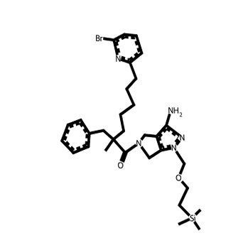 CC(CCCCCc1cccc(Br)n1)(Cc1ccccc1)C(=O)N1Cc2c(N)nn(COCC[Si](C)(C)C)c2C1